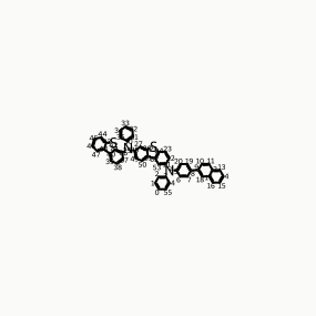 c1ccc(N(c2ccc(-c3ccc4ccccc4c3)cc2)c2ccc3sc4cc(N(c5ccccc5)c5cccc6c5sc5ccccc56)ccc4c3c2)cc1